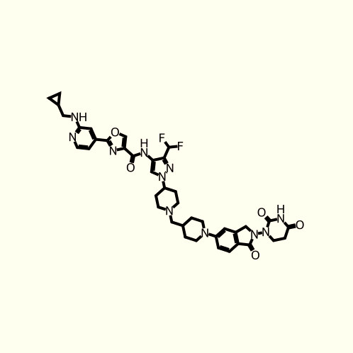 O=C1CCN(N2Cc3cc(N4CCC(CN5CCC(n6cc(NC(=O)c7coc(-c8ccnc(NCC9CC9)c8)n7)c(C(F)F)n6)CC5)CC4)ccc3C2=O)C(=O)N1